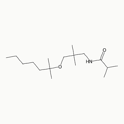 CCCCCC(C)(C)OCC(C)(C)CNC(=O)C(C)C